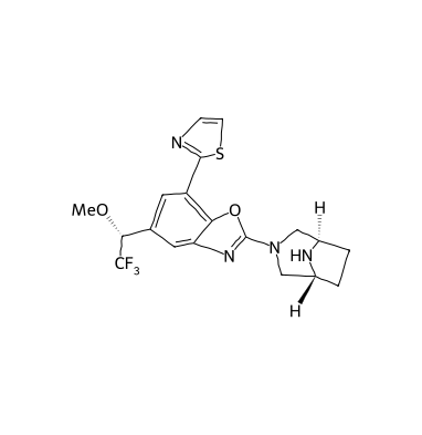 CO[C@H](c1cc(-c2nccs2)c2oc(N3C[C@H]4CC[C@H](C3)N4)nc2c1)C(F)(F)F